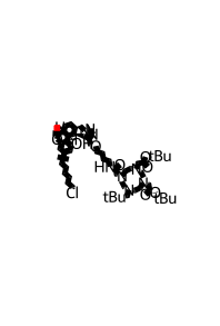 CC(C)(C)CN1CCN(CC(=O)NCCCCOCc2cn(C[C@@H]3CC[C@@H]4[C@@H](C3)c3c(O)cc(C(C)(C)CCCCCCCl)cc3OC4(C)C)nn2)CCN(CC(=O)OC(C)(C)C)CCN(CC(=O)OC(C)(C)C)CC1